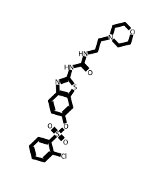 O=C(NCCN1CCOCC1)Nc1nc2ccc(OS(=O)(=O)c3ccccc3Cl)cc2s1